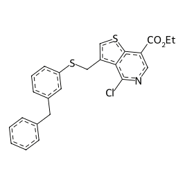 CCOC(=O)c1cnc(Cl)c2c(CSc3cccc(Cc4ccccc4)c3)csc12